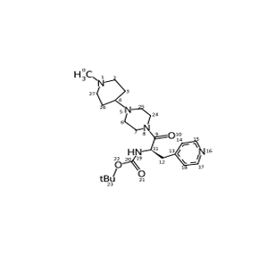 CN1CCC(N2CCN(C(=O)[C@@H](Cc3ccncc3)NC(=O)OC(C)(C)C)CC2)CC1